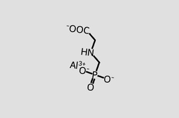 O=C([O-])CNCP(=O)([O-])[O-].[Al+3]